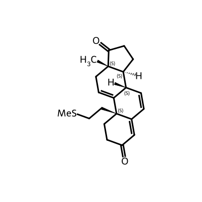 CSCC[C@]12CCC(=O)C=C1C=C[C@@H]1C2=CC[C@]2(C)C(=O)CC[C@@H]12